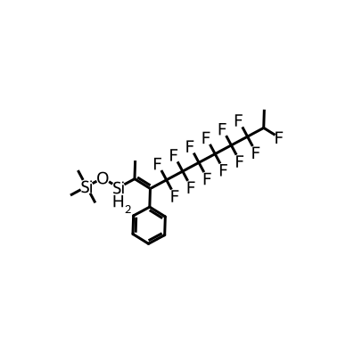 CC([SiH2]O[Si](C)(C)C)=C(c1ccccc1)C(F)(F)C(F)(F)C(F)(F)C(F)(F)C(F)(F)C(F)(F)C(C)F